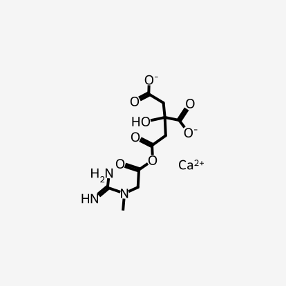 CN(CC(=O)OC(=O)CC(O)(CC(=O)[O-])C(=O)[O-])C(=N)N.[Ca+2]